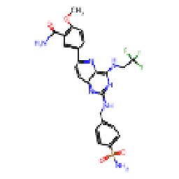 COc1ccc(-c2ccc3nc(NCc4ccc(S(N)(=O)=O)cc4)nc(NCC(F)(F)F)c3n2)cc1C(N)=O